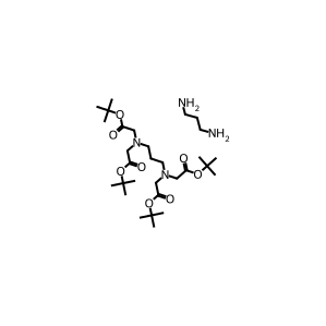 CC(C)(C)OC(=O)CN(CCCN(CC(=O)OC(C)(C)C)CC(=O)OC(C)(C)C)CC(=O)OC(C)(C)C.NCCCN